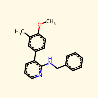 COc1ccc(-c2cccnc2NCc2ccccc2)cc1C